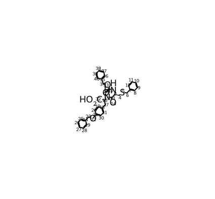 O=C(N[C@@H](CSCc1ccccc1)C(=O)N[C@@H](Cc1ccc(OCc2ccccc2)cc1)C(=O)O)OCc1ccccc1